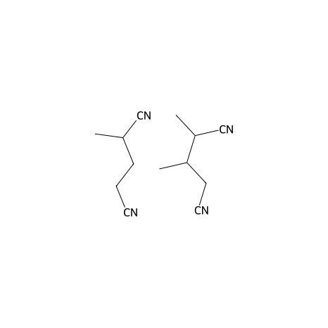 CC(C#N)C(C)CC#N.CC(C#N)CCC#N